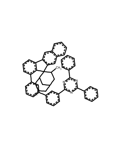 CCC1CC2CC(C)C3(c4cc5ccccc5cc4-c4cccc(-c5cccc(-c6cccc(-c7nc(-c8ccccc8)nc(-c8ccccc8)n7)c6)c5)c43)C(C1)C2